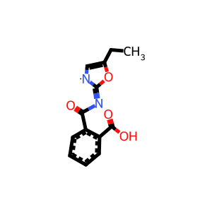 CCC1=C[N]C(=NC(=O)c2ccccc2C(=O)O)O1